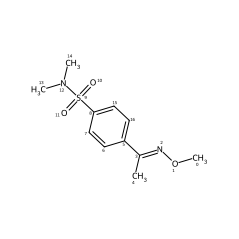 CON=C(C)c1ccc(S(=O)(=O)N(C)C)cc1